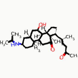 CC(=O)CC[C@@H](C)[C@H]1CC[C@H]2[C@@H]3C(O)C[C@@H]4CC(NC(C)C)CC[C@]4(C)[C@H]3CC(=O)[C@]12C